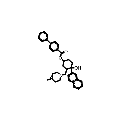 CN1CCN(CC2CC(OC(=O)c3ccc(-c4ccccc4)cc3)CCC2(O)c2ccc3ccccc3c2)CC1